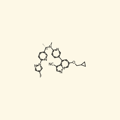 C[C@@H](c1ccc(-n2cc(F)cn2)nc1)N(C)c1ccc(-c2cc(OCC3CC3)cn3ncc(C#N)c23)cn1